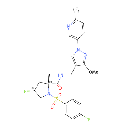 COc1nn(-c2ccc(C(F)(F)F)nc2)cc1CNC(=O)[C@@]1(C)C[C@@H](F)CN1S(=O)(=O)c1ccc(F)cc1